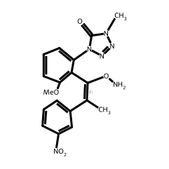 COc1cccc(-n2nnn(C)c2=O)c1/C(ON)=C(/C)c1cccc([N+](=O)[O-])c1